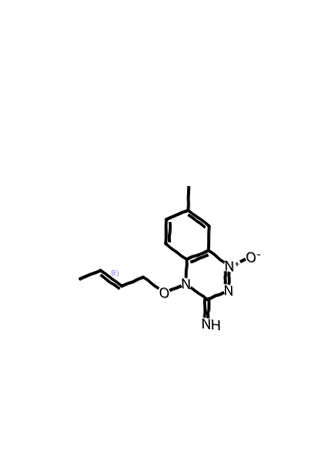 C/C=C/COn1c(=N)n[n+]([O-])c2cc(C)ccc21